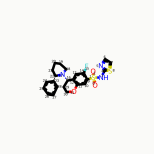 O=S(=O)(Nc1nccs1)c1cc2c(cc1F)[C@@H](N1CCCC[C@H]1c1ccccc1)CCO2